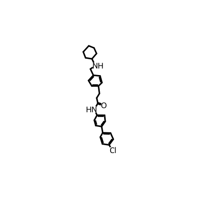 O=C(CCc1ccc(CNC2CCCCC2)cc1)Nc1ccc(-c2ccc(Cl)cc2)cc1